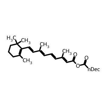 CCCCCCCCCCC(=O)OC(=O)/C=C(C)/C=C/C=C(C)/C=C/C1=C(C)CCCC1(C)C